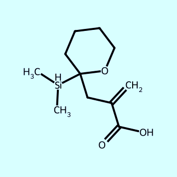 C=C(CC1([SiH](C)C)CCCCO1)C(=O)O